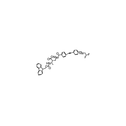 COC(=O)[C@@H](CCCC(=O)c1ccc(C#Cc2ccc(CNCC(F)F)cc2)cc1)[C@@H](C)NC(=O)OCC1c2ccccc2-c2ccccc21